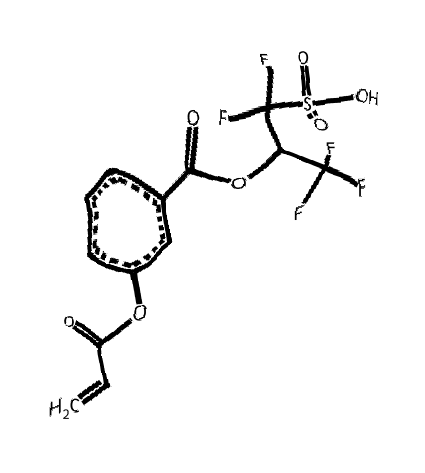 C=CC(=O)Oc1cccc(C(=O)OC(C(F)(F)F)C(F)(F)S(=O)(=O)O)c1